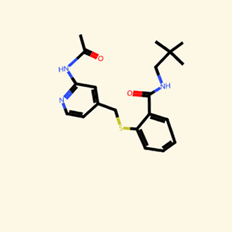 CC(=O)Nc1cc(CSc2ccccc2C(=O)NCC(C)(C)C)ccn1